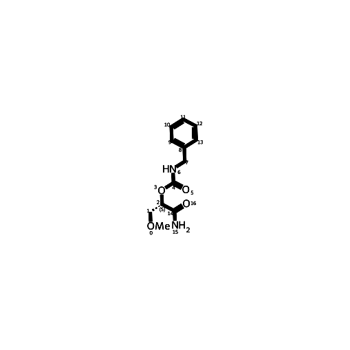 COC[C@H](OC(=O)NCc1ccccc1)C(N)=O